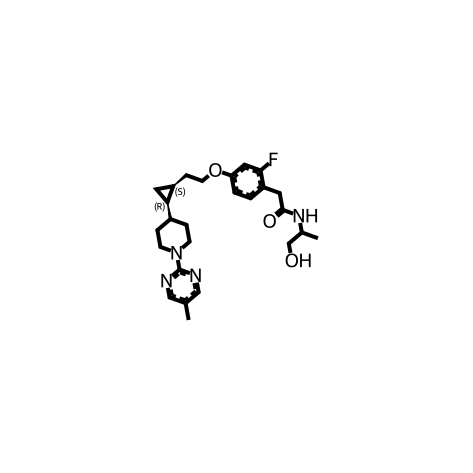 Cc1cnc(N2CCC([C@H]3C[C@H]3CCOc3ccc(CC(=O)NC(C)CO)c(F)c3)CC2)nc1